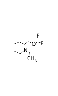 CCN1CCCCC1COC(F)F